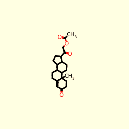 CC(=O)OCC(=O)C1CCC2C1CCC1C2CCC2=CC(=O)CCC21C